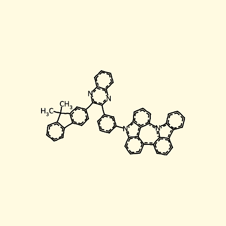 CC1(C)c2ccccc2-c2ccc(-c3nc4ccccc4nc3-c3cccc(-n4c5cccc6c7cccc8c9ccccc9n(c9cccc4c9c65)c78)c3)cc21